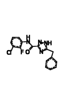 O=C(Nc1cccc(Cl)c1F)c1n[nH]c(Cc2ccccc2)n1